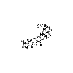 CSc1ncc2ncnc(Nc3ccc(Cc4ccc5c(c4)ncn5C)c(C)c3)c2n1